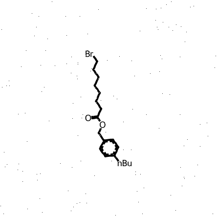 CCCCc1ccc(COC(=O)CCCCCCCBr)cc1